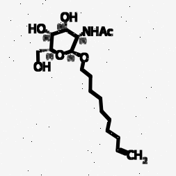 C=CCCCCCCCCO[C@H]1O[C@H](CO)[C@H](O)[C@H](O)[C@@H]1NC(C)=O